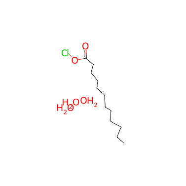 CCCCCCCCCCCC(=O)OCl.O.O.O